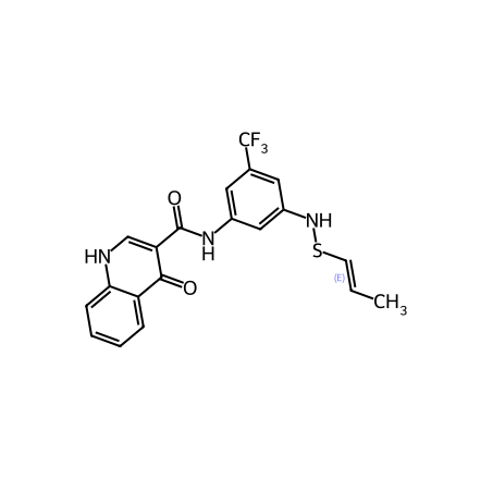 C/C=C/SNc1cc(NC(=O)c2c[nH]c3ccccc3c2=O)cc(C(F)(F)F)c1